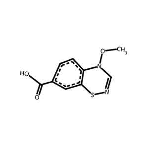 CON1C=NSc2cc(C(=O)O)ccc21